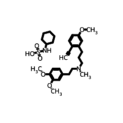 C#Cc1ccc(OC)cc1CCCN(C)CCc1ccc(OC)c(OC)c1.O=S(=O)(O)NC1CCCCC1